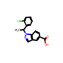 CC(c1ccccc1Cl)n1ncc2cc(C(=O)O)ccc21